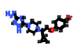 Nc1n[nH]c(N2CCN(C(COc3ccc(Br)cc3)=C3CC3)CC2)n1